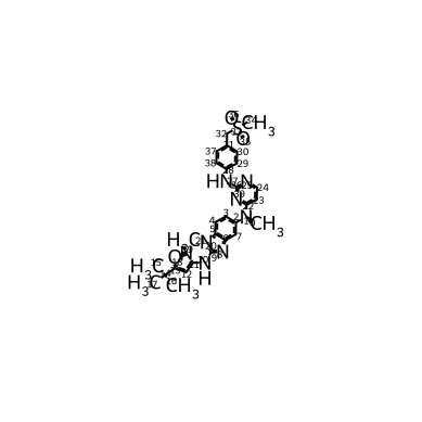 CN(c1ccc2c(c1)nc(Nc1cc(C(C)(C)C)on1)n2C)c1ccnc(Nc2ccc(CS(C)(=O)=O)cc2)n1